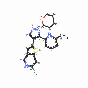 Cc1cccc(-c2c(-c3cc4cnc(Cl)cc4s3)cnn2C2CCCCO2)n1